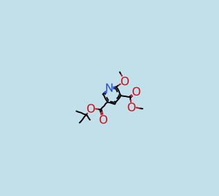 COC(=O)c1cc(C(=O)OC(C)(C)C)cnc1OC